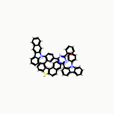 c1ccc(-c2nc(-c3ccc(-n4c5ccccc5c5cc6ccccc6cc54)c(-c4cccc5sc6ccc7ccccc7c6c45)c3)nc(-c3cccc4c5ccccc5n(-c5ccccc5)c34)n2)cc1